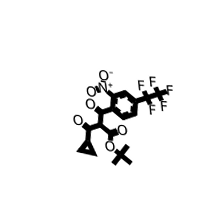 CC(C)(C)OC(=O)C(C(=O)c1ccc(C(F)(F)C(F)(F)F)cc1[N+](=O)[O-])C(=O)C1CC1